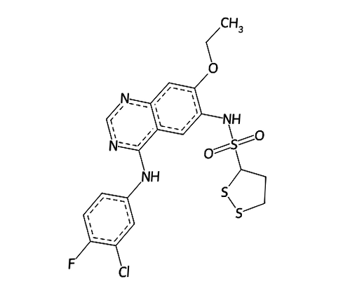 CCOc1cc2ncnc(Nc3ccc(F)c(Cl)c3)c2cc1NS(=O)(=O)C1CCSS1